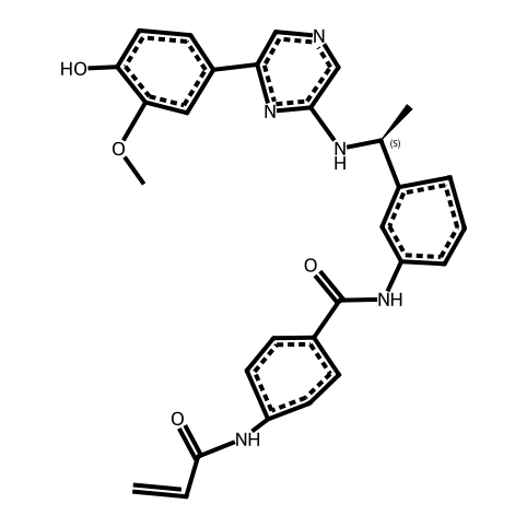 C=CC(=O)Nc1ccc(C(=O)Nc2cccc([C@H](C)Nc3cncc(-c4ccc(O)c(OC)c4)n3)c2)cc1